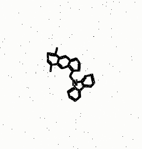 Cc1ccc(C)c2cc3c(Cn4c5ccccc5c5ccccc54)cccc3cc12